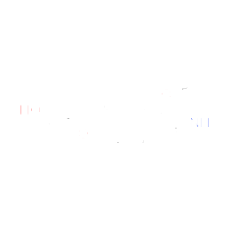 OCCOc1ccc(C2CNCCO2)cc1